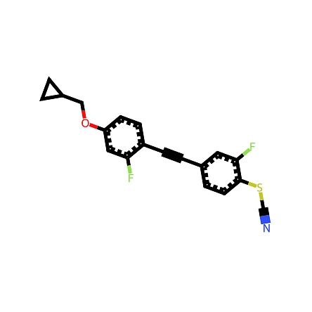 N#CSc1ccc(C#Cc2ccc(OCC3CC3)cc2F)cc1F